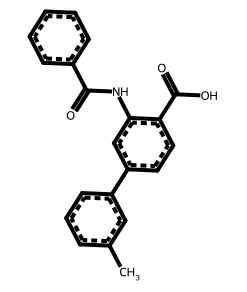 Cc1cccc(-c2ccc(C(=O)O)c(NC(=O)c3ccccc3)c2)c1